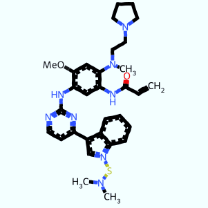 C=CC(=O)Nc1cc(Nc2nccc(-c3cn(SN(C)C)c4ccccc34)n2)c(OC)cc1N(C)CCN1CCCC1